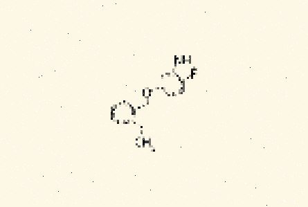 CCc1ccccc1COc1ccc(F)c(N)c1